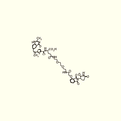 Cc1nc(=O)c2cc(CN(C)c3ccc(C(=O)N[C@H](CCC(=O)NCCOCCOCCNC(=O)COc4cccc5c4C(=O)N(C4CCC(=O)NC4=O)C5=O)C(=O)O)s3)ccc2[nH]1